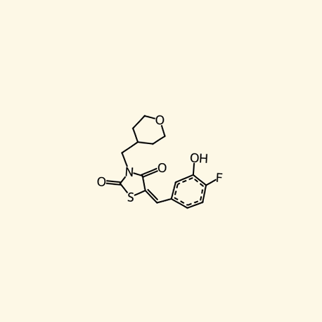 O=C1SC(=Cc2ccc(F)c(O)c2)C(=O)N1CC1CCOCC1